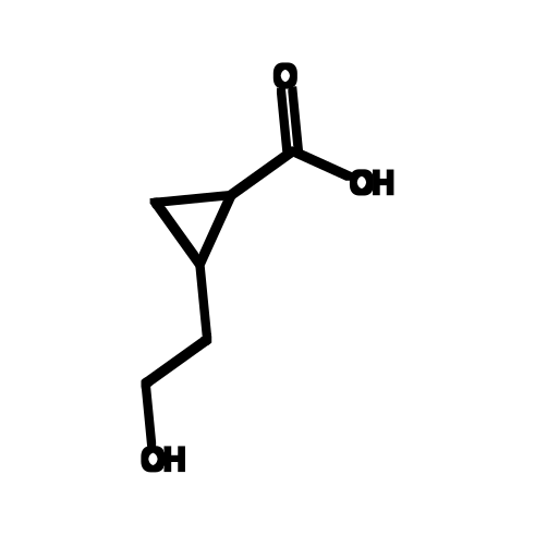 O=C(O)C1CC1CCO